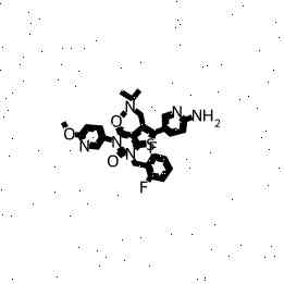 COc1ccc(-n2c(=O)c3c(CN(C)C(C)C)c(-c4ccc(N)nc4)sc3n(Cc3c(F)cccc3F)c2=O)cn1